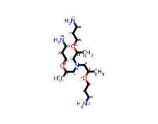 CC(CN(CC(C)OCCCN)CC(C)OCCCN)OCCCN